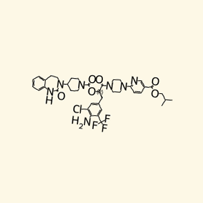 CC(C)COC(=O)c1ccc(N2CCN(C(=O)[C@@H](Cc3cc(Cl)c(N)c(C(F)(F)F)c3)OC(=O)N3CCC(N4CCc5ccccc5NC4=O)CC3)CC2)nc1